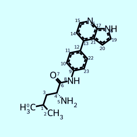 CC(C)C[C@@H](N)C(=O)Nc1ccc(-c2ccnc3[nH]ccc23)cc1